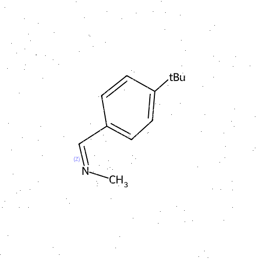 C/N=C\c1ccc(C(C)(C)C)cc1